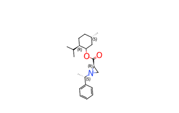 CC(C)[C@H]1CC[C@H](C)CC1OC(=O)[C@H]1CN1[C@@H](C)c1ccccc1